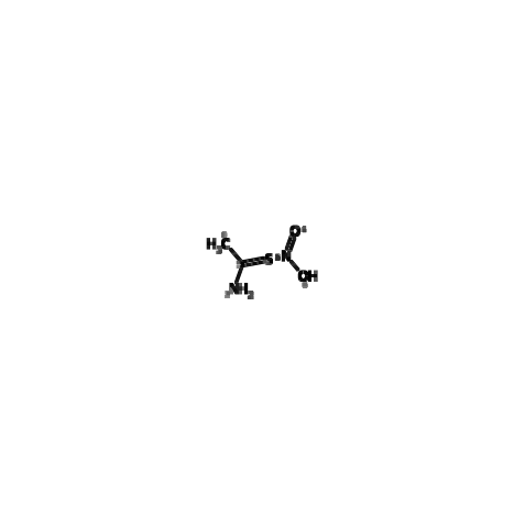 CC(N)=S.O=NO